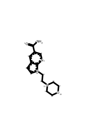 NC(=O)c1cnc2c(ccn2CCN2CCOCC2)c1